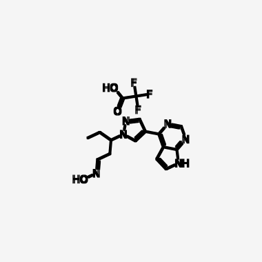 CCC(CC=NO)n1cc(-c2ncnc3[nH]ccc23)cn1.O=C(O)C(F)(F)F